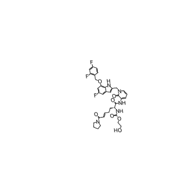 O=C(N[C@@H](CC/C=C/C(=O)N1CCCC1)C(=O)Nc1cccn(Cc2cc3cc(F)cc(OCc4ccc(F)cc4F)c3[nH]2)c1=O)OCCO